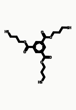 O=C(OCCCS)c1cc(C(=O)OCCCS)cc(C(=O)OCCCS)c1